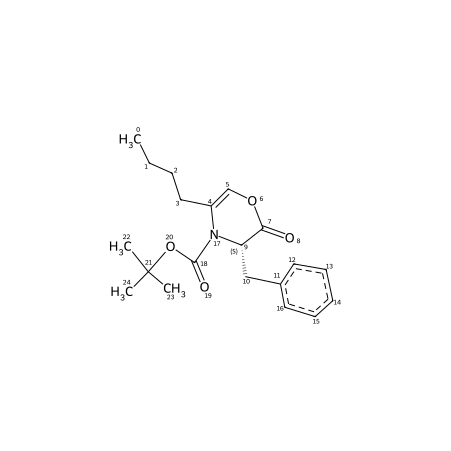 CCCCC1=COC(=O)[C@H](Cc2ccccc2)N1C(=O)OC(C)(C)C